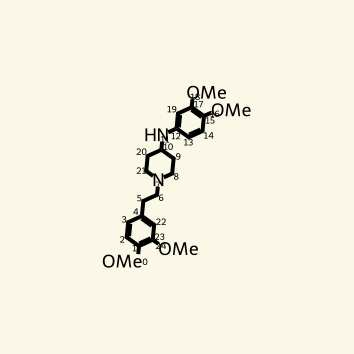 COc1ccc(CCN2CCC(Nc3ccc(OC)c(OC)c3)CC2)cc1OC